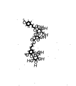 COc1ccc(/C=C/C(=O)O[C@H]2[C@H](O[C@](C)(CC(=O)O)CC(=O)OC/C=C/c3cc(O)c(O[C@@H]4O[C@H](CO)[C@@H](O)[C@H](O)[C@H]4O)c(OC)c3)O[C@H](CO)[C@@H](O)[C@@H]2O)cc1